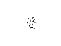 O=[PH](O)OC(F)(F)c1cc(F)c(CO)cc1Br